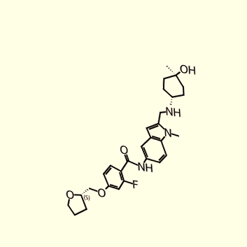 Cn1c(CN[C@H]2CC[C@](C)(O)CC2)cc2cc(NC(=O)c3ccc(OC[C@@H]4CCCO4)cc3F)ccc21